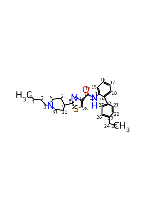 CCCCN1CCC(c2nc(C(=O)Nc3ccccc3-c3ccc(CC)cc3)cs2)CC1